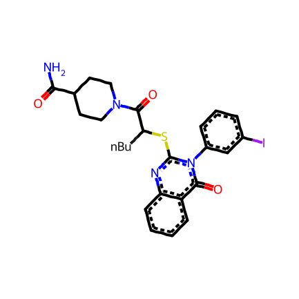 CCCCC(Sc1nc2ccccc2c(=O)n1-c1cccc(I)c1)C(=O)N1CCC(C(N)=O)CC1